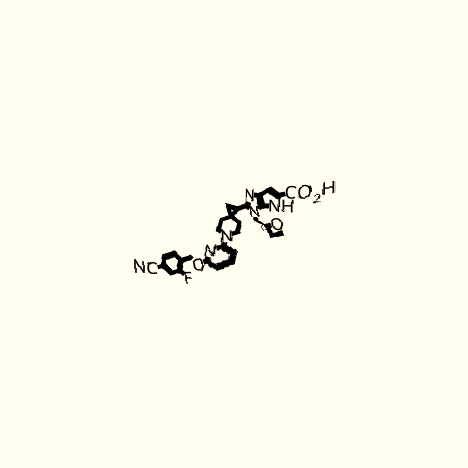 N#Cc1ccc(COc2cccc(N3CCC4(CC3)CC4c3nc4cc(C(=O)O)[nH]c4n3C[C@@H]3CCO3)n2)c(F)c1